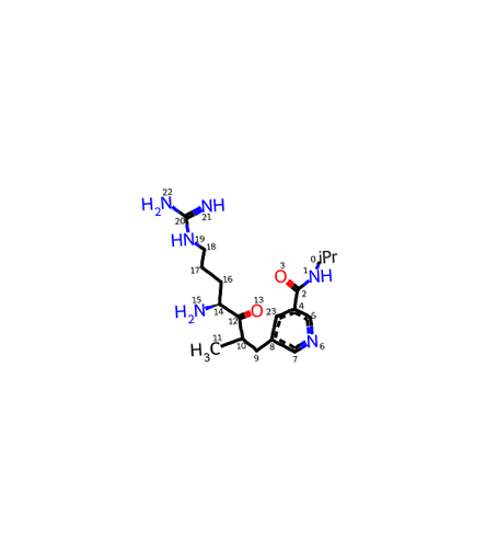 CC(C)NC(=O)c1cncc(CC(C)C(=O)[C@@H](N)CCCNC(=N)N)c1